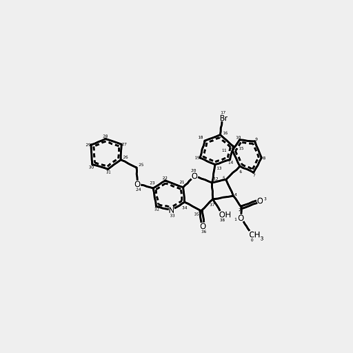 COC(=O)C1C(c2ccccc2)C2(c3ccc(Br)cc3)Oc3cc(OCc4ccccc4)cnc3C(=O)C12O